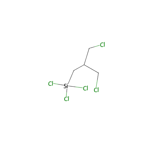 ClCC(CCl)C[Si](Cl)(Cl)Cl